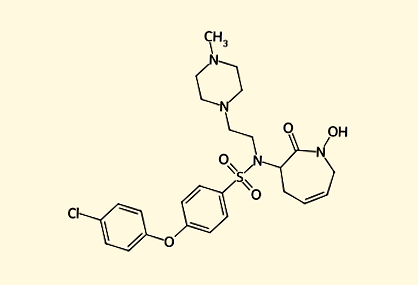 CN1CCN(CCN(C2CC=CCN(O)C2=O)S(=O)(=O)c2ccc(Oc3ccc(Cl)cc3)cc2)CC1